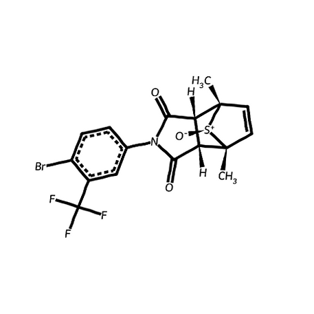 C[C@]12C=C[C@](C)([C@@H]3C(=O)N(c4ccc(Br)c(C(F)(F)F)c4)C(=O)[C@@H]31)[S@@+]2[O-]